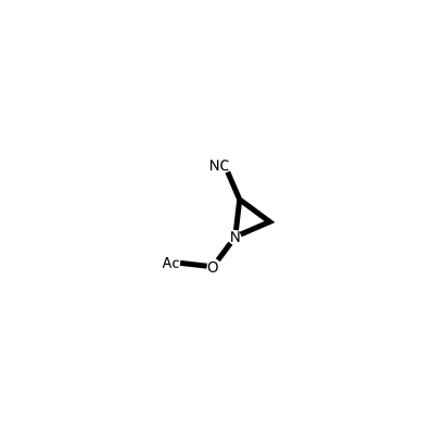 CC(=O)ON1CC1C#N